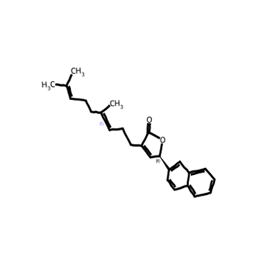 CC(C)=CCC/C(C)=C/CCC1=C[C@H](c2ccc3ccccc3c2)OC1=O